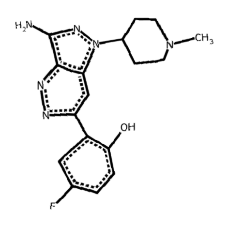 CN1CCC(n2nc(N)c3nnc(-c4cc(F)ccc4O)cc32)CC1